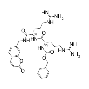 N=C(N)NCCC[C@H](NC(=O)OCc1ccccc1)C(=O)N[C@@H](CCCNC(=N)N)C(=O)NCc1ccc2ccc(=O)oc2c1